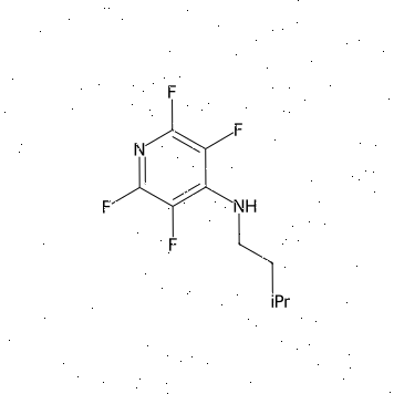 CC(C)CCNc1c(F)c(F)nc(F)c1F